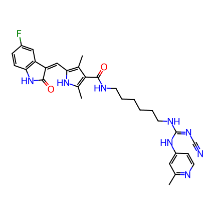 Cc1cc(N/C(=N\C#N)NCCCCCCNC(=O)c2c(C)[nH]c(/C=C3\C(=O)Nc4ccc(F)cc43)c2C)ccn1